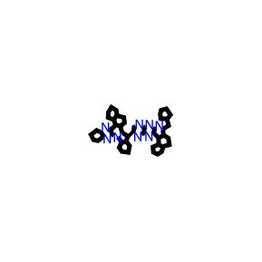 c1ccc2c(c1)ccc1c2c2nc3nc(-c4c5ccccc5n5c6nc7ccccc7nc6c6c7ccccc7ccc6c45)cnc3nc2n2c3ccccc3cc12